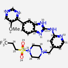 COc1cncnc1-c1ccc2nc(Nc3cc(CN4CCN(S(=O)(=O)CCC(F)(F)F)CC4)ccn3)[nH]c2c1